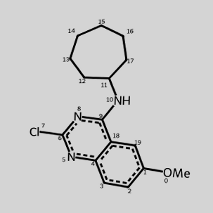 COc1ccc2nc(Cl)nc(NC3CCCCCC3)c2c1